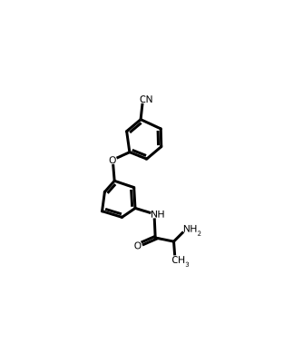 CC(N)C(=O)Nc1cccc(Oc2cccc(C#N)c2)c1